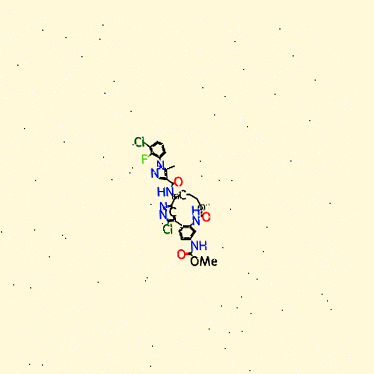 COC(=O)Nc1ccc2c(c1)NC(=O)[C@@H](C)CCC[C@H](NC(=O)c1cnn(-c3cccc(Cl)c3F)c1C)c1cc-2c(Cl)nn1